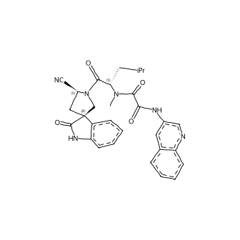 CC(C)C[C@@H](C(=O)N1C[C@]2(C[C@H]1C#N)C(=O)Nc1ccccc12)N(C)C(=O)C(=O)Nc1cnc2ccccc2c1